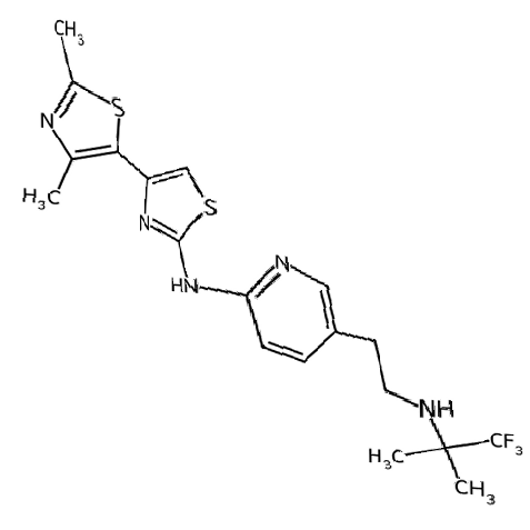 Cc1nc(C)c(-c2csc(Nc3ccc(CCNC(C)(C)C(F)(F)F)cn3)n2)s1